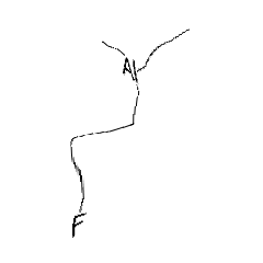 [CH3][Al]([CH3])[CH2]CF